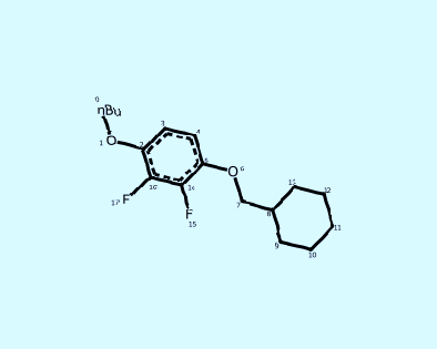 CCCCOc1ccc(OCC2CCCCC2)c(F)c1F